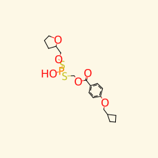 O=C(OCSP(O)SOCC1CCCO1)c1ccc(OCC2CCC2)cc1